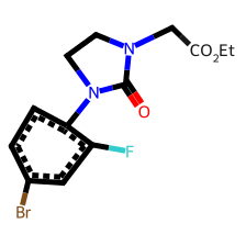 CCOC(=O)CN1CCN(c2ccc(Br)cc2F)C1=O